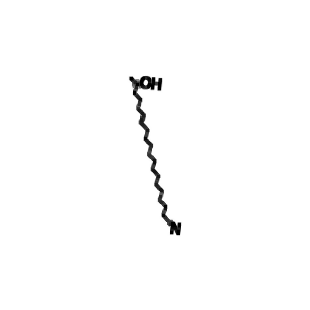 C[C@@H](O)CCCC=CCCCCCCCCCCCCC#N